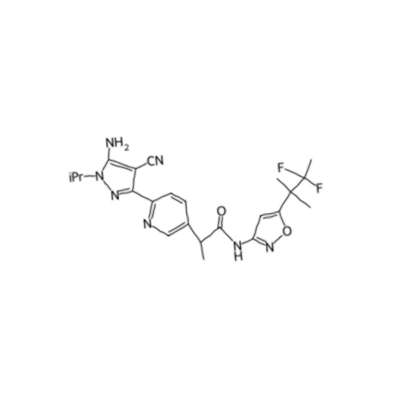 CC(C(=O)Nc1cc(C(C)(C)C(C)(F)F)on1)c1ccc(-c2nn(C(C)C)c(N)c2C#N)nc1